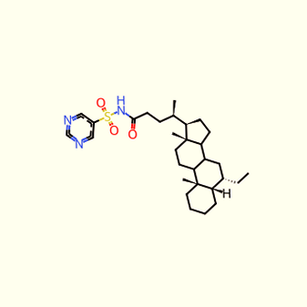 CC[C@H]1CC2C3CC[C@H]([C@H](C)CCC(=O)NS(=O)(=O)c4cncnc4)[C@@]3(C)CCC2[C@@]2(C)CCCC[C@@H]12